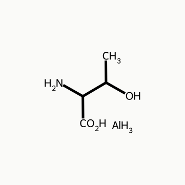 CC(O)C(N)C(=O)O.[AlH3]